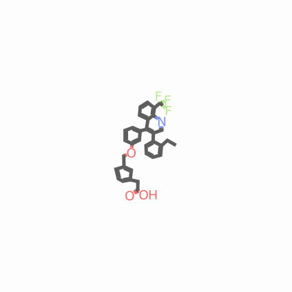 CCc1ccccc1-c1cnc2c(C(F)(F)F)cccc2c1-c1cccc(OCc2cccc(CC(=O)O)c2)c1